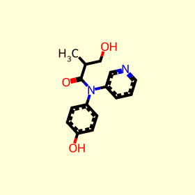 CC(CO)C(=O)N(c1ccc(O)cc1)c1cccnc1